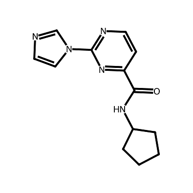 O=C(NC1CCCC1)c1ccnc(-n2ccnc2)n1